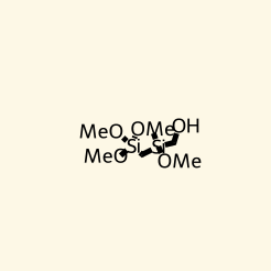 CO[Si](C)(CO)C[Si](OC)(OC)OC